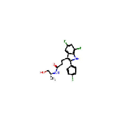 C[C@H](CO)NC(=O)CCc1c(-c2ccc(F)cc2)[nH]c2c(F)cc(F)cc12